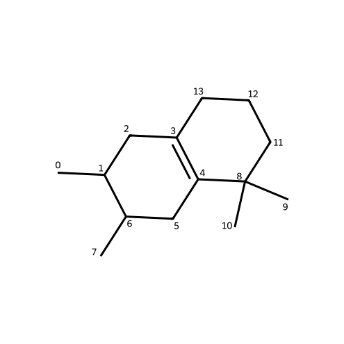 CC1CC2=C(CC1C)C(C)(C)CCC2